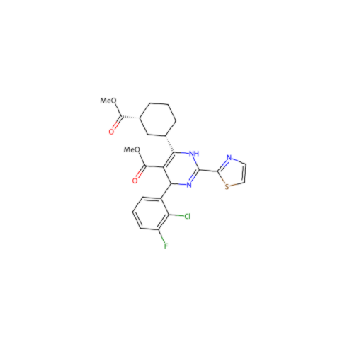 COC(=O)C1=C([C@H]2CCC[C@@H](C(=O)OC)C2)NC(c2nccs2)=NC1c1cccc(F)c1Cl